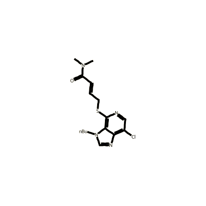 CCCCn1cnc2c(Cl)cnc(SCC=CC(=O)N(C)C)c21